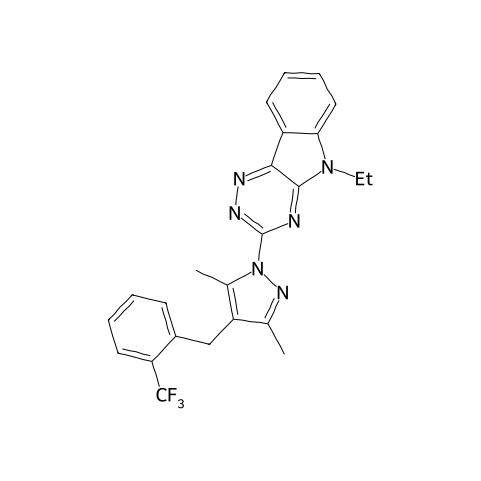 CCn1c2ccccc2c2nnc(-n3nc(C)c(Cc4ccccc4C(F)(F)F)c3C)nc21